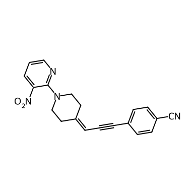 N#Cc1ccc(C#CC=C2CCN(c3ncccc3[N+](=O)[O-])CC2)cc1